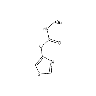 CC(C)(C)NC(=O)Oc1cscn1